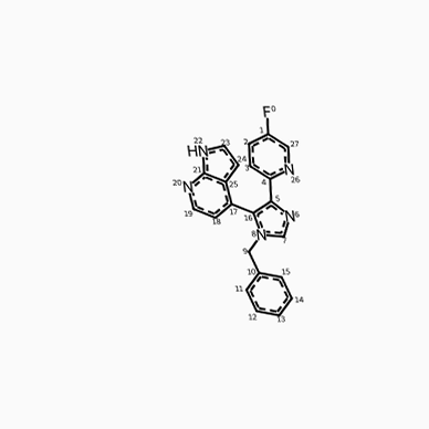 Fc1ccc(-c2ncn(Cc3ccccc3)c2-c2ccnc3[nH]ccc23)nc1